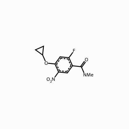 CNC(=O)c1cc([N+](=O)[O-])c(OC2CC2)cc1F